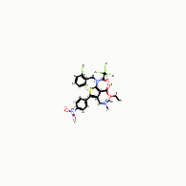 CCOC(=O)c1c(N(Cc2c(F)cccc2F)C(=O)C(F)(F)F)sc(-c2ccc([N+](=O)[O-])cc2)c1CN(C)C